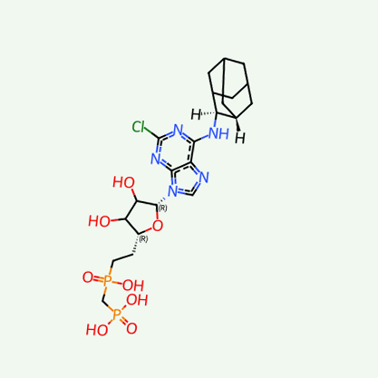 O=P(O)(O)CP(=O)(O)CC[C@H]1O[C@@H](n2cnc3c(N[C@H]4C5CC6CC(C5)C[C@@H]4C6)nc(Cl)nc32)C(O)C1O